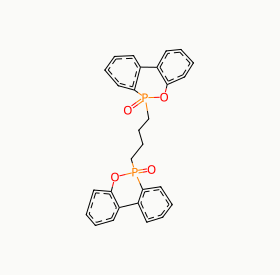 O=P1(CCCCP2(=O)Oc3ccccc3-c3ccccc32)Oc2ccccc2-c2ccccc21